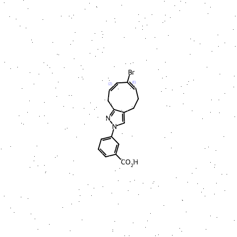 O=C(O)c1cccc(-n2cc3c(n2)C/C=C\C(Br)=C/CC3)c1